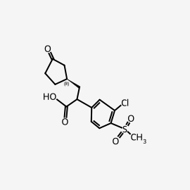 CS(=O)(=O)c1ccc(C(C[C@H]2CCC(=O)C2)C(=O)O)cc1Cl